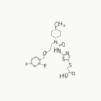 C[C@H]1CC[C@H](N(CCOCc2ccc(F)cc2F)C(=O)Nc2ncc(SCC(=O)O)s2)CC1